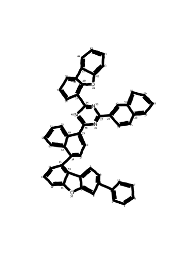 c1ccc(-c2ccc3c(c2)oc2cccc(-c4ccc(-c5nc(-c6ccc7ccccc7c6)nc(-c6cccc7c6oc6ccccc67)n5)c5ccccc45)c23)cc1